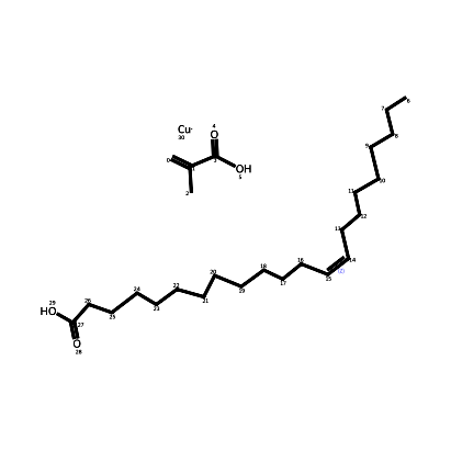 C=C(C)C(=O)O.CCCCCCCC/C=C\CCCCCCCCCCCC(=O)O.[Cu]